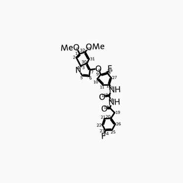 COc1cc2nccc(Oc3ccc(NC(=O)NC(=O)Cc4ccc(F)cc4)cc3F)c2cc1OC